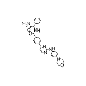 NC(=O)[C@H](NC(=O)c1ccc(-c2ccnc(Nc3ccc(N4CCOCC4)cc3)n2)cc1)c1ccccc1